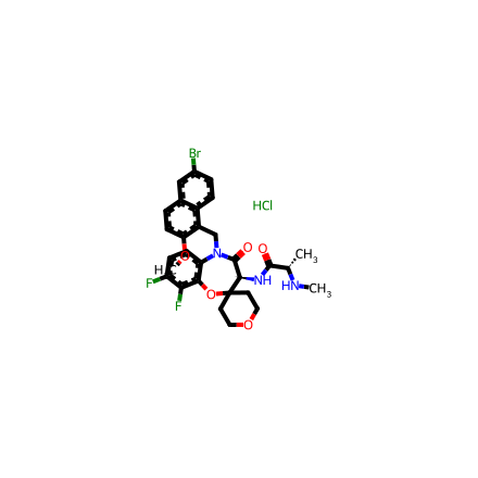 CN[C@@H](C)C(=O)N[C@@H]1C(=O)N(Cc2c(OC)ccc3cc(Br)ccc23)c2ccc(F)c(F)c2OC12CCOCC2.Cl